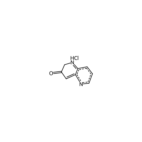 Cl.O=C1C=c2ncccc2=NC1